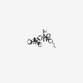 CCCc1ccc(S(=O)(=O)Nc2ccc3c(c2)c(=O)[nH]n3Cc2ccccc2)cc1